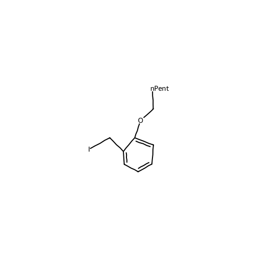 CCCCCCOc1ccccc1CI